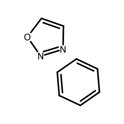 c1ccccc1.c1conn1